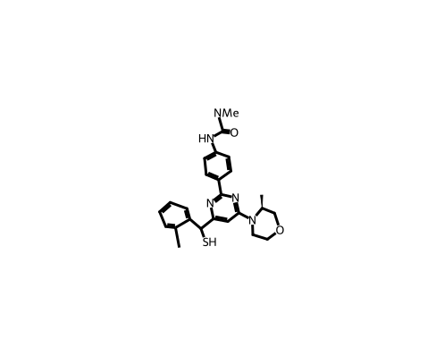 CNC(=O)Nc1ccc(-c2nc(C(S)c3ccccc3C)cc(N3CCOC[C@@H]3C)n2)cc1